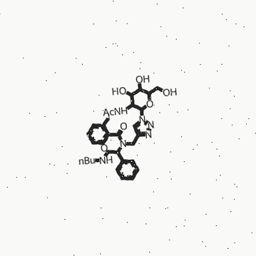 CCCCNC(=O)C(c1ccccc1)N(Cc1cn(C2OC(CO)C(O)C(O)C2NC(C)=O)nn1)C(=O)c1ccccc1I